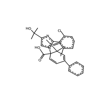 CC(C)(O)c1cn(C2(C(=O)O)C=CC(c3ccccc3)=CC2(Cl)S(C)(=O)=O)c(-c2c(F)cccc2Cl)n1